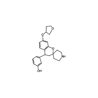 Oc1cccc(C2CC3(CCNCC3)Oc3cc(OC4CCOC4)ccc32)c1